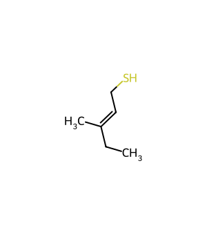 CCC(C)=CCS